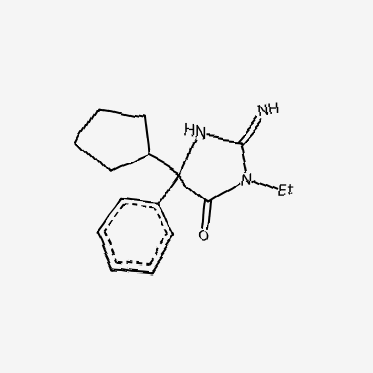 CCN1C(=N)NC(c2ccccc2)(C2CCCC2)C1=O